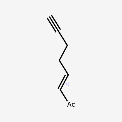 C#CCC/C=C/C(C)=O